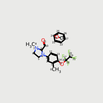 Cc1cc(N2CCN(C)C2C=O)ccc1OC(F)(F)C(F)F.c1cc2ccc1CO2